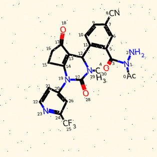 CC(=O)N(N)C(=O)c1cc(C#N)ccc1C1C2=C(CCC2=O)N(c2ccnc(C(F)(F)F)c2)C(=O)N1C